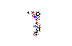 COC(=O)c1cc(Cl)ccc1NC(=O)COCC(=O)Nc1cc(-c2ccoc2)ccc1F